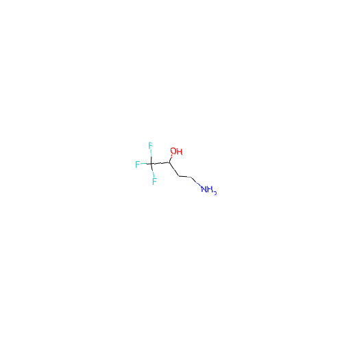 NCCC(O)C(F)(F)F